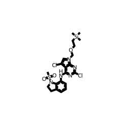 C[Si](C)(C)CCOCn1cc(Cl)c2c(Nc3cccc4c3N(S(C)(=O)=O)CC4)nc(Cl)nc21